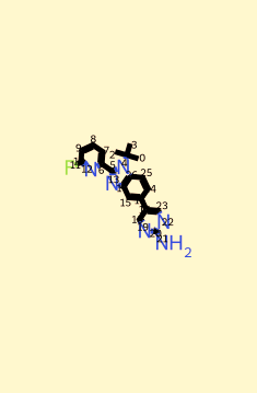 CC(C)(C)n1c(-c2cccc(F)n2)nc2cc(-c3cnc(N)nc3)ccc21